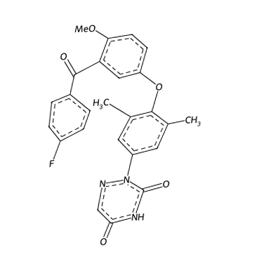 COc1ccc(Oc2c(C)cc(-n3ncc(=O)[nH]c3=O)cc2C)cc1C(=O)c1ccc(F)cc1